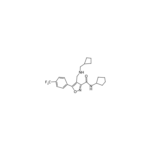 O=C(NC1CCCC1)c1noc(-c2ccc(C(F)(F)F)cc2)c1CNCC1CCC1